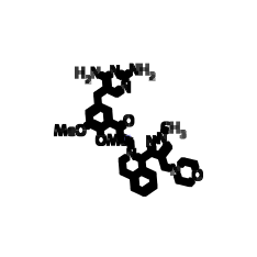 COc1cc(Cc2cnc(N)nc2N)cc(C(=O)/C=C/N2CCc3ccccc3C2c2nn(C)cc2CN2CCOCC2)c1OC